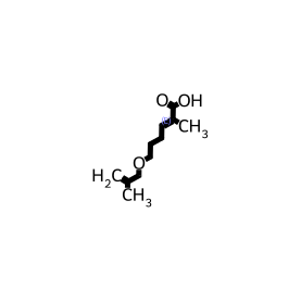 C=C(C)COCCC/C=C(\C)C(=O)O